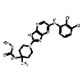 CC1(NC(=O)OC(C)(C)C)CCN(c2nc3nc(Nc4cccc(Cl)c4Cl)cnc3[nH]2)CC1